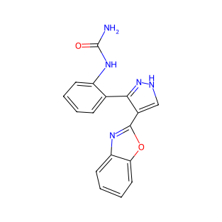 NC(=O)Nc1ccccc1-c1n[nH]cc1-c1nc2ccccc2o1